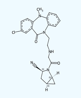 CN1c2ccc(Cl)cc2C(=O)N(CCNCC(=O)N2[C@H](C#N)C[C@@H]3C[C@@H]32)c2ccccc21